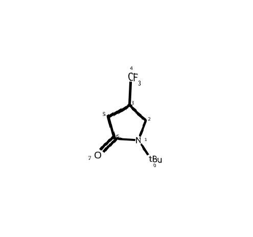 CC(C)(C)N1CC(C(F)(F)F)CC1=O